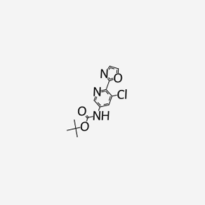 CC(C)(C)OC(=O)Nc1cnc(-c2ncco2)c(Cl)c1